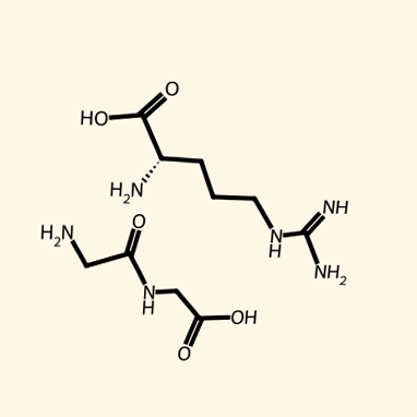 N=C(N)NCCC[C@H](N)C(=O)O.NCC(=O)NCC(=O)O